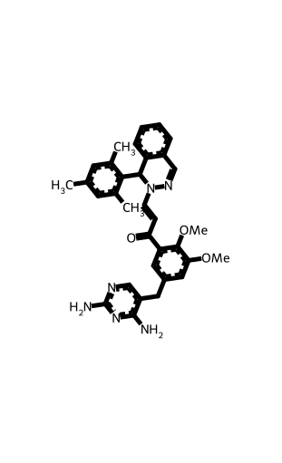 COc1cc(Cc2cnc(N)nc2N)cc(C(=O)C=CN2N=Cc3ccccc3C2c2c(C)cc(C)cc2C)c1OC